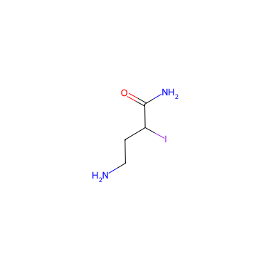 NCCC(I)C(N)=O